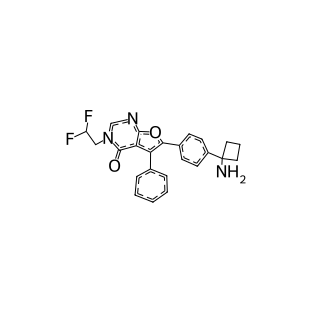 NC1(c2ccc(-c3oc4ncn(CC(F)F)c(=O)c4c3-c3ccccc3)cc2)CCC1